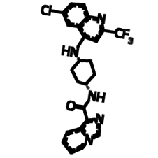 O=C(N[C@H]1CC[C@@H](Nc2cc(C(F)(F)F)nc3ccc(Cl)cc23)CC1)c1ncn2ccccc12